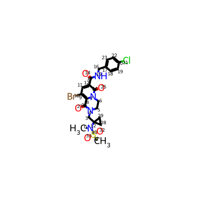 CN(C1(CN2CCn3c(c(Br)cc(C(=O)NCc4ccc(Cl)cc4)c3=O)C2=O)CC1)S(C)(=O)=O